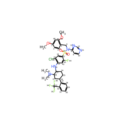 COc1ccc(CN(c2ccncn2)S(=O)(=O)c2cc(Cl)c(NC3CCC(c4ccccc4C(F)(F)F)CC3N(C)C)cc2F)c(OC)c1